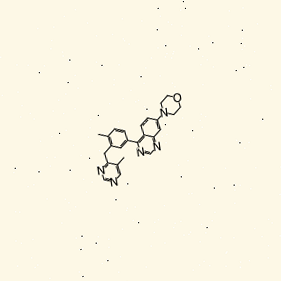 Cc1ccc(-c2ncnc3cc(N4CCOCC4)ccc23)cc1Cc1ncncc1C